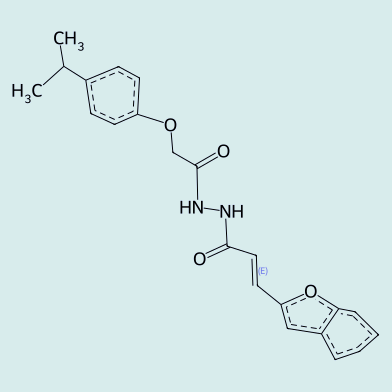 CC(C)c1ccc(OCC(=O)NNC(=O)/C=C/c2cc3ccccc3o2)cc1